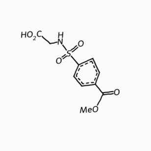 COC(=O)c1ccc(S(=O)(=O)NCC(=O)O)cc1